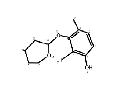 Cc1ccc(O)c(I)c1OC1CCCCO1